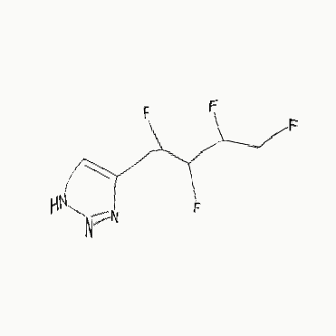 FCC(F)C(F)C(F)c1c[nH]nn1